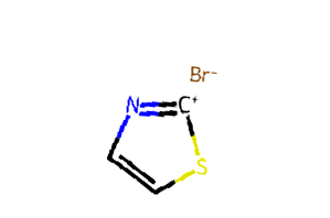 [Br-].[C+]1=NC=CS1